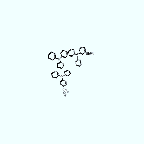 C=O.[H-].[H-].[H-].[Rh+3].c1ccc(P(c2ccccc2)c2ccccc2)cc1.c1ccc(P(c2ccccc2)c2ccccc2)cc1.c1ccc(P(c2ccccc2)c2ccccc2)cc1